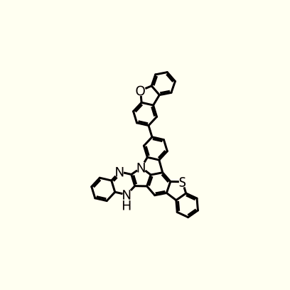 C1=CC2=Nc3c(c4cc5c6ccccc6sc5c5c6ccc(-c7ccc8oc9ccccc9c8c7)cc6n3c45)NC2C=C1